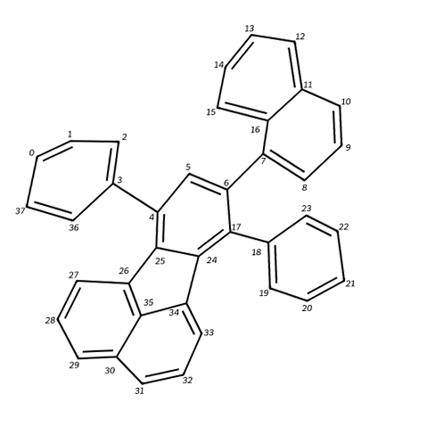 c1ccc(-c2cc(-c3cccc4ccccc34)c(-c3ccccc3)c3c2-c2cccc4cccc-3c24)cc1